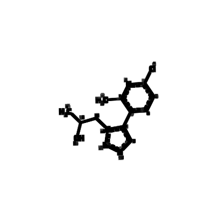 Cc1nc(Cl)ccc1-c1cnnn1CC(C)O